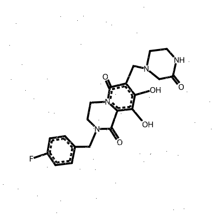 O=C1CN(Cc2c(O)c(O)c3n(c2=O)CCN(Cc2ccc(F)cc2)C3=O)CCN1